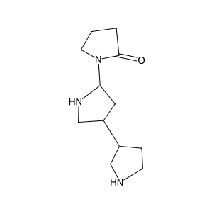 O=C1CCCN1C1CC(C2CCNC2)CN1